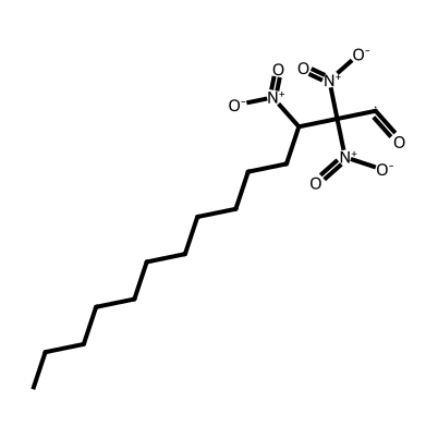 CCCCCCCCCCCC([N+](=O)[O-])C([C]=O)([N+](=O)[O-])[N+](=O)[O-]